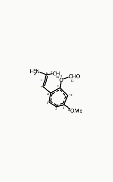 COc1ccc(/C=C(\C)N)c(OC=O)c1